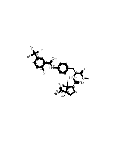 COC(=O)[C@H](Cc1ccc(NC(=O)c2cc(C(F)(F)F)ccc2Cl)cc1)NC(=O)[C@H]1CC[C@@](C)(C(=O)O)C1(C)C